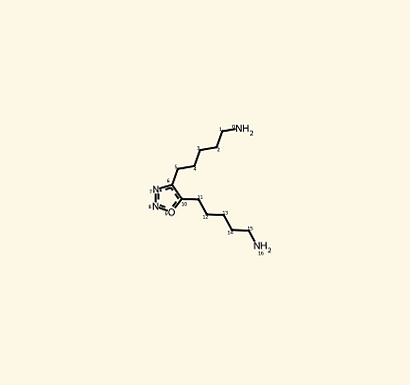 NCCCCCc1nnoc1CCCCCN